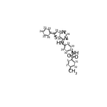 Cc1ccc(S(=O)(=O)Nc2ccc(Nc3ncnc4cc(-c5ccccc5)sc34)cc2)cc1